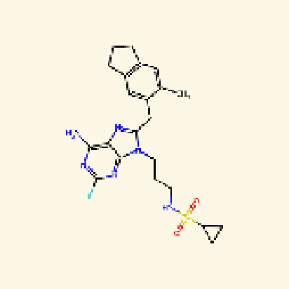 Cc1cc2c(cc1Cc1nc3c(N)nc(F)nc3n1CCCNS(=O)(=O)C1CC1)CCC2